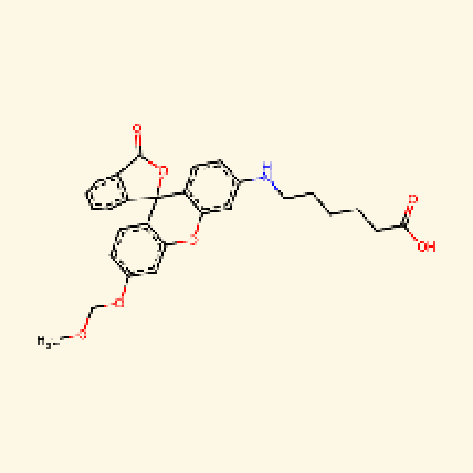 COCOc1ccc2c(c1)Oc1cc(NCCCCCC(=O)O)ccc1C21OC(=O)c2ccccc21